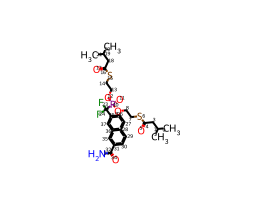 CC(C)CC(=O)SCCOP(=O)(OCCSC(=O)CC(C)C)C(F)(F)c1ccc2ccc(C(N)=O)cc2c1